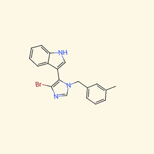 Cc1cccc(Cn2cnc(Br)c2-c2c[nH]c3ccccc23)c1